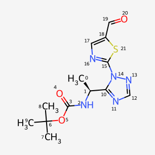 C[C@H](NC(=O)OC(C)(C)C)c1ncnn1-c1ncc(C=O)s1